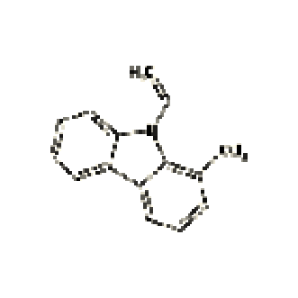 C=Cn1c2ccccc2c2cccc(C(Cl)(Cl)Cl)c21